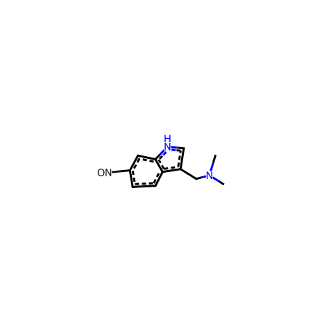 CN(C)Cc1c[nH]c2cc(N=O)ccc12